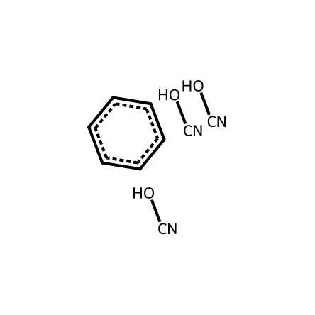 N#CO.N#CO.N#CO.c1ccccc1